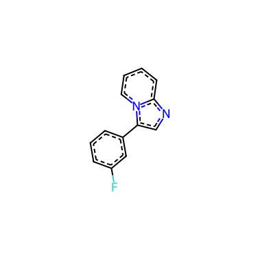 Fc1cccc(-c2cnc3ccccn23)c1